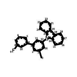 Cc1cc(-c2cccc(F)c2)cc(-n2c3ccccc3c3ccccc32)c1